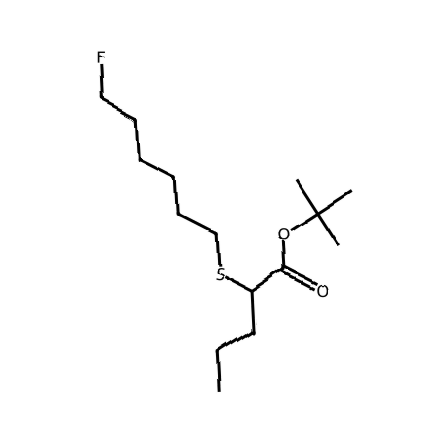 CCCC(SCCCCCCF)C(=O)OC(C)(C)C